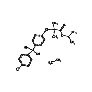 CC.CC(C)OC(=O)C(C)(C)Oc1ccc(C(S)(S)c2ccc(Cl)cc2)cc1